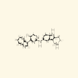 Fc1cnc(Nc2ccc3[nH]c4c(c3c2)CNCC4)nc1-c1cnn2cccnc12